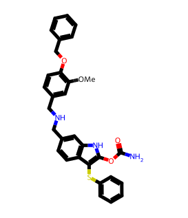 COc1cc(CNCc2ccc3c(Sc4ccccc4)c(OC(N)=O)[nH]c3c2)ccc1OCc1ccccc1